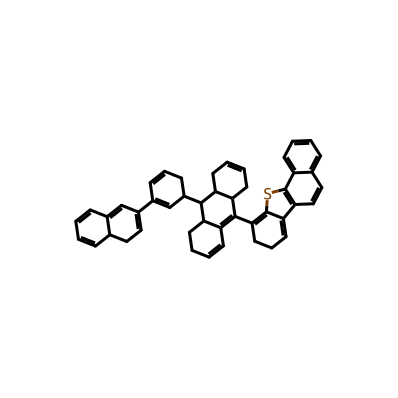 C1=CC2=CC(C3=CC(C4C5CCC=CC5=C(C5=c6sc7c(ccc8ccccc87)c6=CCC5)C5CC=CCC54)CC=C3)=CCC2C=C1